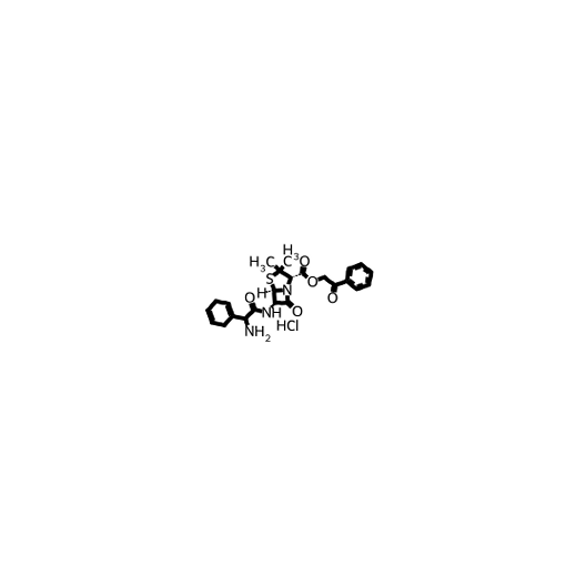 CC1(C)S[C@@H]2[C@H](NC(=O)C(N)C3=CCC=CC3)C(=O)N2[C@H]1C(=O)OCC(=O)c1ccccc1.Cl